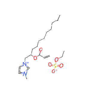 C=CC(=O)OC(CCCCCCCCC)C[n+]1ccn(C)c1.CCOS(=O)(=O)[O-]